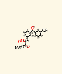 COC(=O)C(O)Cc1cccc(C(=O)c2cccc(C#N)c2)c1